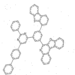 c1ccc(-c2ccc(-c3cc(-c4cc(-c5nc6ccccc6c6c5oc5ccccc56)cc(-c5cccc6c5sc5ccccc56)c4)nc(-c4ccccc4)n3)cc2)cc1